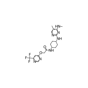 CNc1nc(NC2CCC(NC(=O)COc3cc(C(F)(F)F)ncn3)CC2)ncc1C